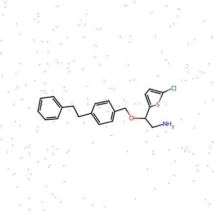 NCC(OCc1ccc(CCc2ccccc2)cc1)c1ccc(Cl)s1